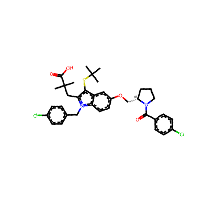 CC(C)(C)Sc1c(CC(C)(C)C(=O)O)n(Cc2ccc(Cl)cc2)c2ccc(OC[C@@H]3CCCN3C(=O)c3ccc(Cl)cc3)cc12